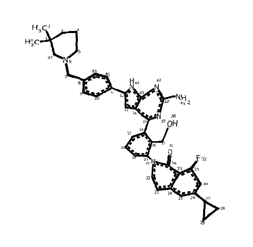 CC1(C)CCCN(Cc2ccc(-c3cc4c(-c5cccc(-n6ccc7cc(C8CC8)cc(F)c7c6=O)c5CO)nc(N)nc4[nH]3)cc2)C1